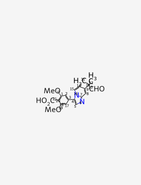 COc1cc(-c2cnc3cc(C(C)(C)C=O)ccn23)cc(OC)c1C(=O)O